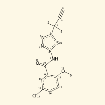 C#CC(C)(C)c1nnc(NC(=O)c2cc(Cl)ccc2OC)s1